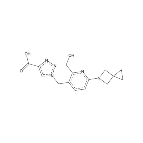 O=C(O)c1cn(Cc2ccc(N3CC4(CC4)C3)nc2CO)nn1